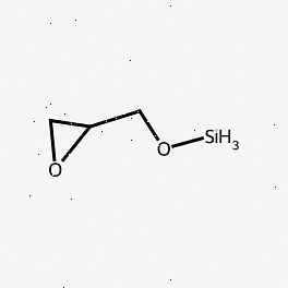 [SiH3]OCC1CO1